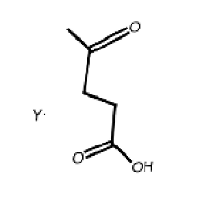 CC(=O)CCC(=O)O.[Y]